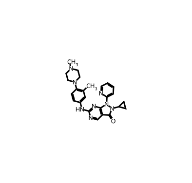 Cc1cc(Nc2ncc3c(=O)n(C4CC4)n(-c4ccccn4)c3n2)ccc1N1CCN(C)CC1